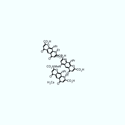 CCCc1c2nc(C(=O)O)cc(NC)c2cc2c(=O)cc(C(=O)O)oc12.CCCc1c2oc(C(=O)O)cc(=O)c2cc2c(=O)cc(C(=O)O)n(CC)c12.CCCc1c2oc(C(=O)O)cc(=O)c2cc2c(=O)cc(C(=O)O)n(CC)c12.[CaH2]